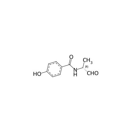 C[C@H](C=O)NC(=O)c1ccc(O)cc1